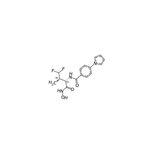 C[C@@H](C(F)F)[C@H](NC(=O)c1ccc(-n2cccc2)cc1)C(=O)NO